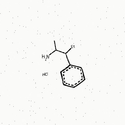 CCC(c1ccccc1)C(C)N.Cl